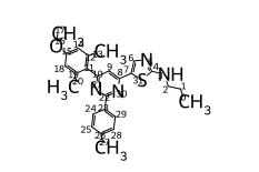 CCCNc1ncc(-c2cc(-c3c(C)cc(OC)cc3C)nc(-c3ccc(C)cc3)n2)s1